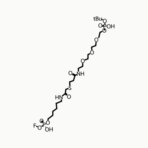 CC(C)(C)OP(=O)(O)OCCOCCOCCOCCNC(=O)CCSCC(=O)NCCCCCCOP(=O)(O)OF